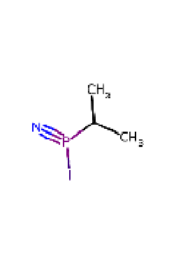 CC(C)P(#N)I